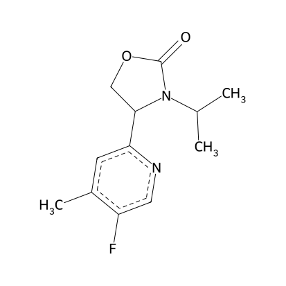 Cc1cc(C2COC(=O)N2C(C)C)ncc1F